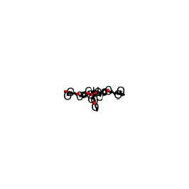 C=CC(=O)OCCCCOc1ccc(C(=O)Oc2ccc(OC(O)c3ccc(OCCCCOC(=O)C=C)cc3)c(C(=O)OCCOCC)c2)cc1